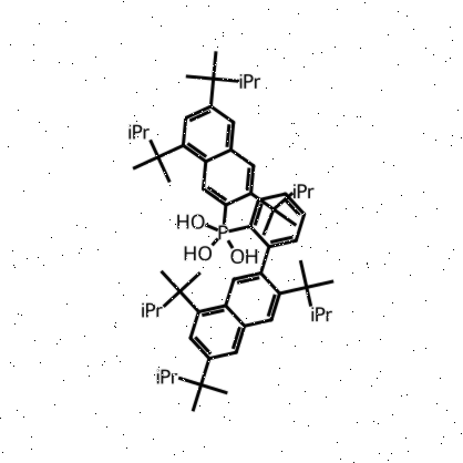 CC(C)C(C)(C)c1cc(C(C)(C)C(C)C)c2cc(-c3ccccc3P(O)(O)(O)c3cc4c(C(C)(C)C(C)C)cc(C(C)(C)C(C)C)cc4cc3C(C)(C)C(C)C)c(C(C)(C)C(C)C)cc2c1